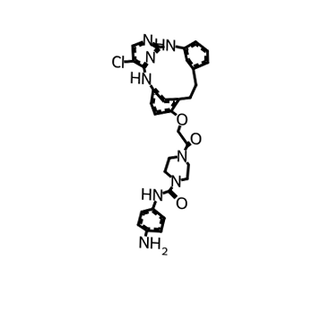 Nc1ccc(NC(=O)N2CCN(C(=O)COc3ccc4cc3CCc3cccc(c3)Nc3ncc(Cl)c(n3)N4)CC2)cc1